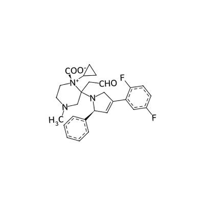 CN1CC[N@+](C(=O)[O-])(C2CC2)C(CC=O)(N2CC(c3cc(F)ccc3F)=C[C@H]2c2ccccc2)C1